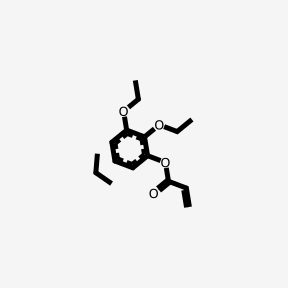 C=CC(=O)Oc1cccc(OCC)c1OCC.CCC